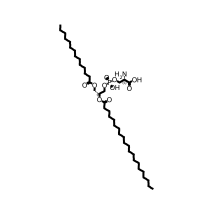 CCCCCCCCCCCCCCCCCCCCC(=O)O[C@H](COC(=O)CCCCCCCCCCCCC)COP(=O)(O)OC[C@H](N)C(=O)O